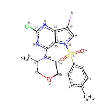 Cc1ccc(S(=O)(=O)n2cc(I)c3nc(Cl)nc(N4CCOCC4C)c32)cc1